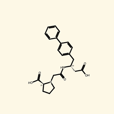 O=C(O)C[C@@H](Cc1ccc(-c2ccccc2)cc1)NC(=O)CN1CCC[C@H]1C(=O)O